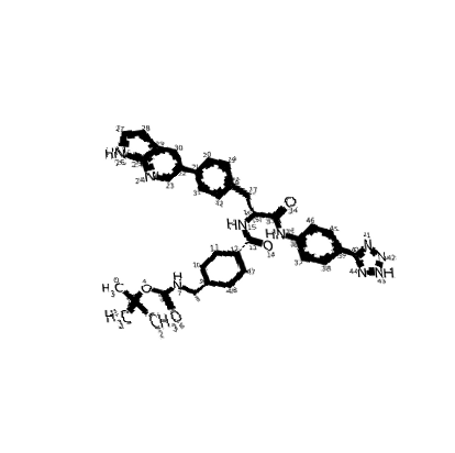 CC(C)(C)OC(=O)NC[C@H]1CC[C@H](C(=O)N[C@@H](Cc2ccc(-c3cnc4[nH]ccc4c3)cc2)C(=O)Nc2ccc(-c3nn[nH]n3)cc2)CC1